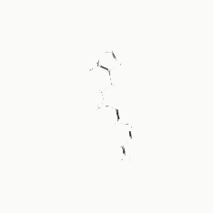 C=C/C=N\C=C\N(C)CCc1ncsc1C